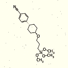 CO[Si](CCCO[C@H]1CC[C@H](c2ccc(C#N)cc2)CC1)(OC)OC